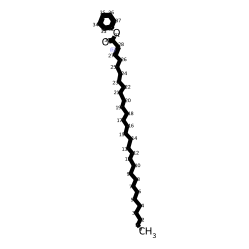 CCCCCCCCCCCCCCCCCCCCCCCCCCC/C=C/C(=O)Oc1ccccc1